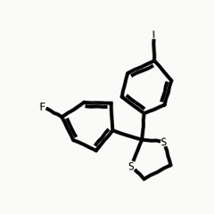 Fc1ccc(C2(c3ccc(I)cc3)SCCS2)cc1